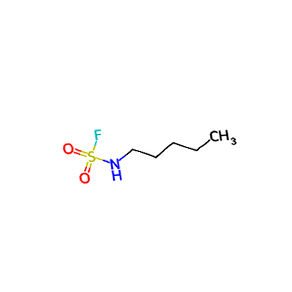 CCCCCNS(=O)(=O)F